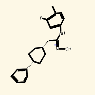 Cc1ccc(N/C(C[C@H]2CC[C@@H](c3ccccc3)CC2)=N\O)cc1F